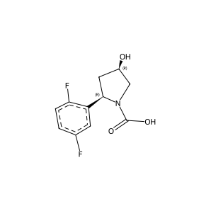 O=C(O)N1C[C@H](O)C[C@@H]1c1cc(F)ccc1F